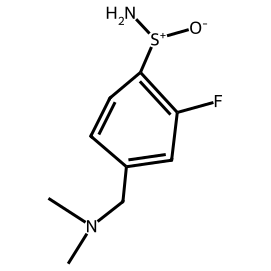 CN(C)Cc1ccc([S+](N)[O-])c(F)c1